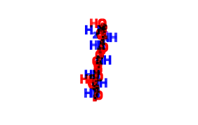 CCCC(=O)NCC1CCC(C(=O)NC(CCC(=O)NCCOCCOCC(=O)NCCOCCOCC(=O)NCCCC[C@H](NI)C(=O)C[C@@H](Cc2ccc(O)cc2)C(N)=O)C(=O)O)CC1